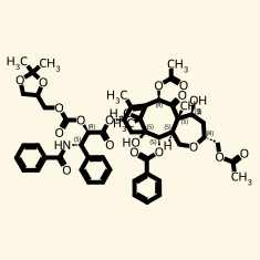 CC(=O)OC[C@H]1C[C@H](O)[C@@]2(C)C(=O)[C@H](OC(C)=O)C3=C(C)[C@@H](OC(=O)[C@H](OC(=O)OCC4COC(C)(C)O4)[C@@H](NC(=O)c4ccccc4)c4ccccc4)C[C@@](O)([C@@H](OC(=O)c4ccccc4)[C@@H]2CO1)C3(C)C